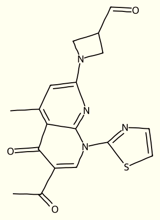 CC(=O)c1cn(-c2nccs2)c2nc(N3CC(C=O)C3)cc(C)c2c1=O